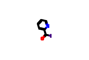 O=C(I)c1ccccn1